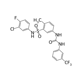 Cc1ccc(NC(=O)Nc2cccc(C(F)(F)F)c2)cc1S(=O)(=O)Nc1ccc(F)c(Cl)c1